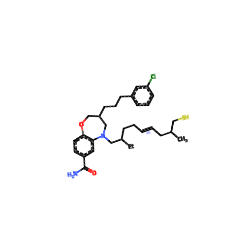 CCC(CC/C=C/CC(C)CS)CN1CC(CCCc2cccc(Cl)c2)COc2ccc(C(N)=O)cc21